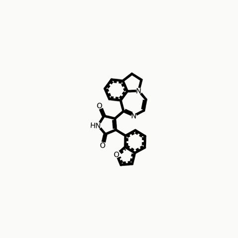 O=C1NC(=O)C(c2cccc3ccoc23)=C1C1=NC=CN2CCc3cccc1c32